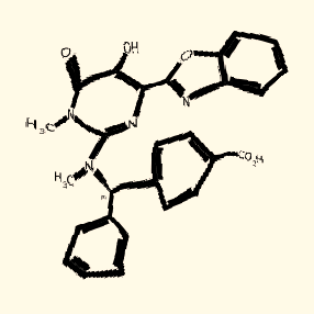 CN(c1nc(-c2nc3ccccc3o2)c(O)c(=O)n1C)[C@H](c1ccccc1)c1ccc(C(=O)O)cc1